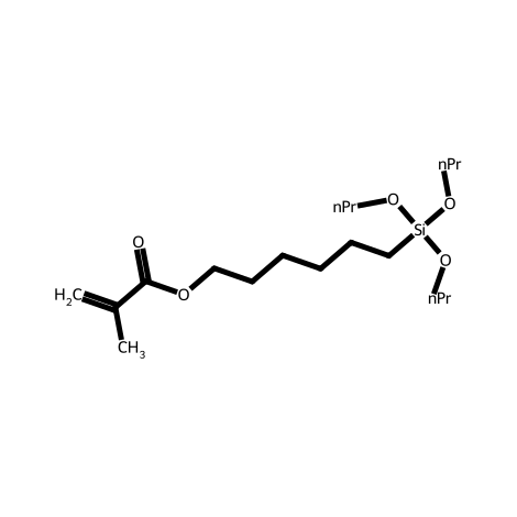 C=C(C)C(=O)OCCCCCC[Si](OCCC)(OCCC)OCCC